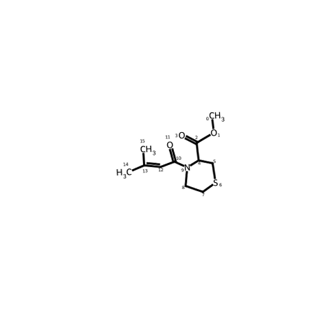 COC(=O)C1CSCCN1C(=O)C=C(C)C